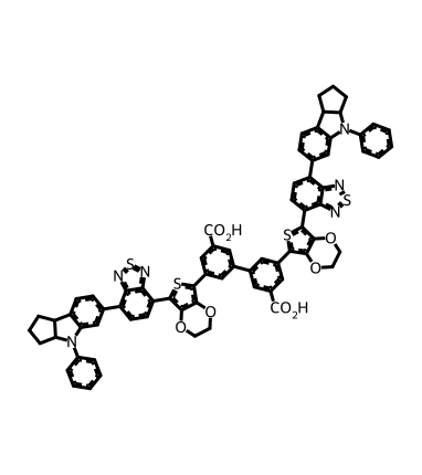 O=C(O)c1cc(-c2cc(C(=O)O)cc(-c3sc(-c4ccc(-c5ccc6c(c5)N(c5ccccc5)C5CCCC65)c5nsnc45)c4c3OCCO4)c2)cc(-c2sc(-c3ccc(-c4ccc5c(c4)N(c4ccccc4)C4CCCC54)c4nsnc34)c3c2OCCO3)c1